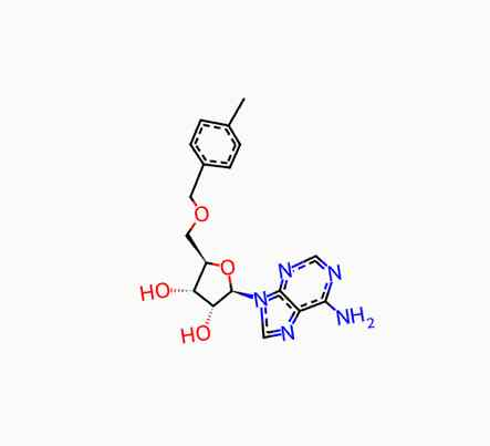 Cc1ccc(COC[C@H]2O[C@@H](n3cnc4c(N)ncnc43)[C@H](O)[C@@H]2O)cc1